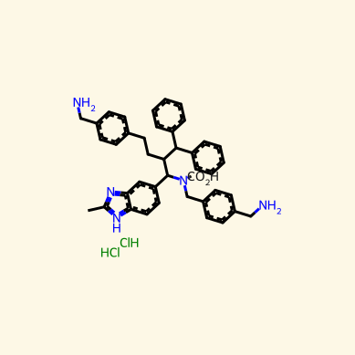 Cc1nc2cc(C(C(CCc3ccc(CN)cc3)C(c3ccccc3)c3ccccc3)N(Cc3ccc(CN)cc3)C(=O)O)ccc2[nH]1.Cl.Cl